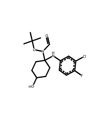 CC(C)(C)ON(C=O)C1(Nc2ccc(F)c(Cl)c2)CCC(O)CC1